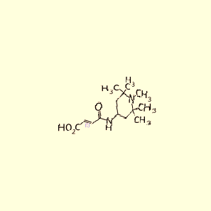 CN1C(C)(C)CC(NC(=O)/C=C/C(=O)O)CC1(C)C